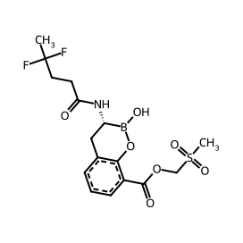 CC(F)(F)CCC(=O)N[C@H]1Cc2cccc(C(=O)OCS(C)(=O)=O)c2OB1O